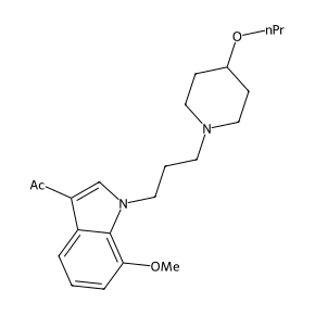 CCCOC1CCN(CCCn2cc(C(C)=O)c3cccc(OC)c32)CC1